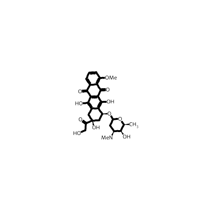 CN[C@H]1CC(O[C@H]2C[C@](O)(C(=O)CO)Cc3c(O)c4c(c(O)c32)C(=O)c2c(OC)cccc2C4=O)O[C@@H](C)[C@H]1O